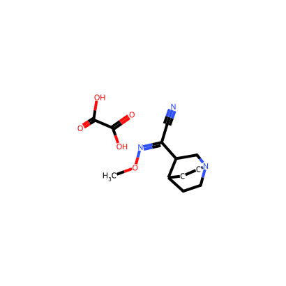 CO/N=C(/C#N)C1CN2CCC1CC2.O=C(O)C(=O)O